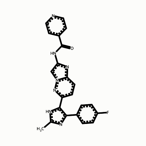 Cc1nc(-c2ccc(F)cc2)c(-c2ccc3nc(NC(=O)c4ccncc4)cn3n2)[nH]1